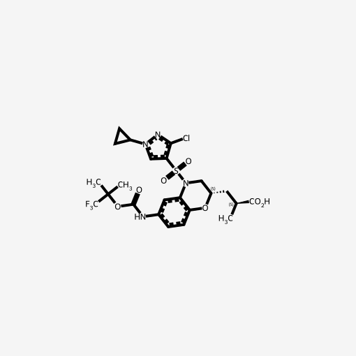 C[C@@H](C[C@H]1CN(S(=O)(=O)c2cn(C3CC3)nc2Cl)c2cc(NC(=O)OC(C)(C)C(F)(F)F)ccc2O1)C(=O)O